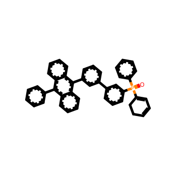 O=P(C1=CC=CCC1)(c1ccccc1)c1cccc(-c2cccc(-c3c4ccccc4c(-c4ccccc4)c4ccccc34)c2)c1